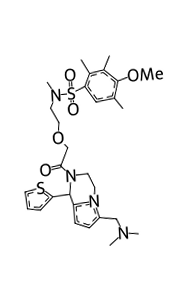 COc1c(C)cc(S(=O)(=O)N(C)CCOCC(=O)N2CCn3c(CN(C)C)ccc3C2c2cccs2)c(C)c1C